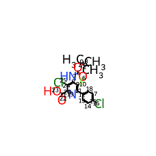 CC(C)(C)OC(=O)Nc1c(F)c(-c2ccc(Cl)cc2)nc(C(=O)O)c1Cl